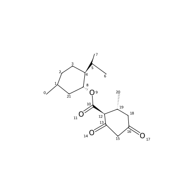 CC1CC[C@@H](C(C)C)[C@H](OC(=O)[C@@H]2C(=O)CC(=O)C[C@H]2C)C1